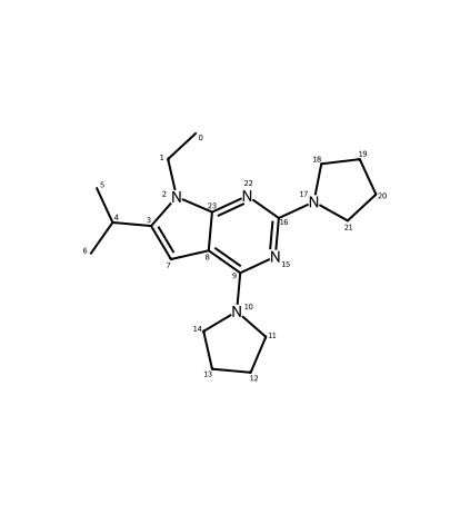 CCn1c(C(C)C)cc2c(N3CCCC3)nc(N3CCCC3)nc21